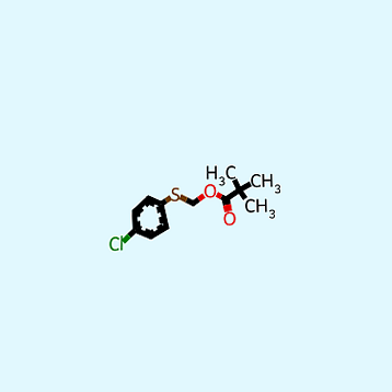 CC(C)(C)C(=O)OCSc1ccc(Cl)cc1